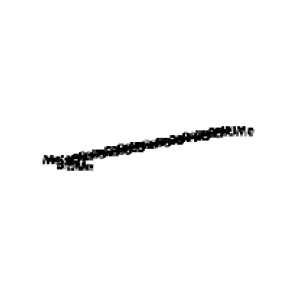 COCCOCCOCCOCCOCCOCCOCCOCCOCCOCCOCCOCCOCCOCCOCCOCCOCCOCCOCCOCCOCCOCCOCCOCCOCc1cc(OC)c(Br)c(OC)c1